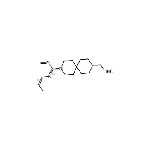 C=N/C(=N\C=C/C)N1CCC2(CCC(CC=O)CC2)CC1